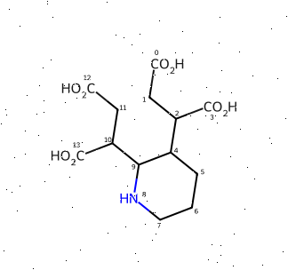 O=C(O)CC(C(=O)O)C1CCCNC1C(CC(=O)O)C(=O)O